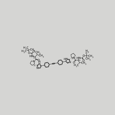 CC(C)[C@H](NC(=O)OC(C)(C)C)C(=O)N1CCC[C@H]1c1ncc(-c2ccc(C#Cc3ccc(-c4cnc([C@@H]5CCCN5C(=O)[C@@H](NC(=O)OC(C)(C)C)C(C)C)[nH]4)cc3)cc2)[nH]1